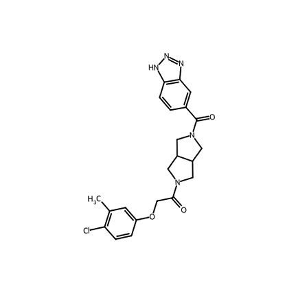 Cc1cc(OCC(=O)N2CC3CN(C(=O)c4ccc5[nH]nnc5c4)CC3C2)ccc1Cl